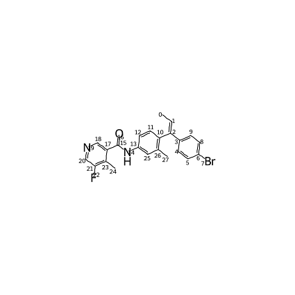 C/C=C(/c1ccc(Br)cc1)c1ccc(NC(=O)c2cncc(F)c2C)cc1C